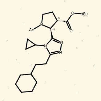 CC(=O)N1CC[C@H](C(=O)OC(C)(C)C)[C@H]1c1nnc(CCC2CCCCC2)n1C1CC1